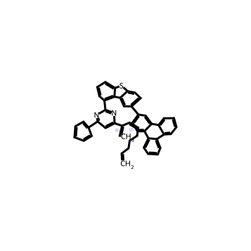 C=CCCC/C=C\C(=C/C)c1cc(-c2ccccc2)nc(-c2cccc3sc4ccc(-c5ccc6c7ccccc7c7ccccc7c6c5)cc4c23)n1